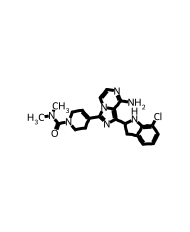 CN(C)C(=O)N1CC=C(c2nc(C3Cc4cccc(Cl)c4N3)c3c(N)nccn23)CC1